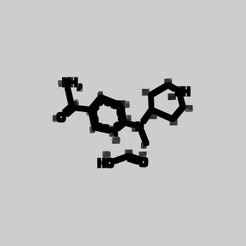 CN(c1ncc(C(N)=O)cn1)C1CCNCC1.O=CO